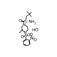 C[C@H]1CN(C(=O)[C@@H](N)CC(C)(C)C)CCN1S(=O)(=O)c1ccccc1[N+](=O)[O-].Cl